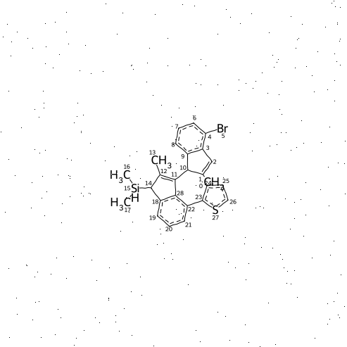 CC1=Cc2c(Br)cccc2C1C1=C(C)C([SiH](C)C)c2cccc(-c3cccs3)c21